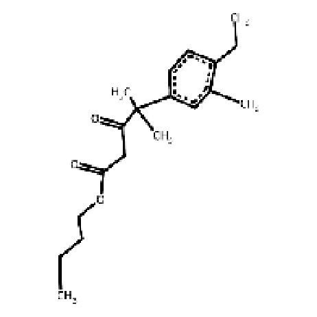 CCCCOC(=O)CC(=O)C(C)(C)c1ccc(CC)c(C)c1